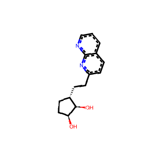 O[C@@H]1[C@@H](CCc2ccc3cccnc3n2)CC[C@@H]1O